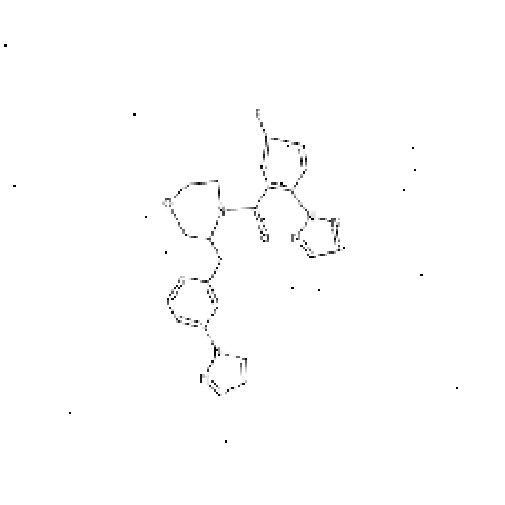 O=C(c1cc(F)ccc1-n1nccn1)N1CCOCC1Cc1cccc(-n2cccn2)c1